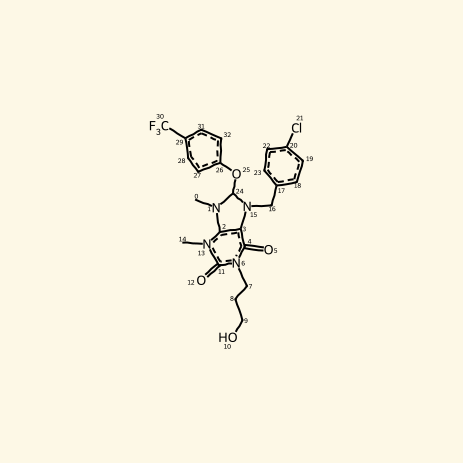 CN1c2c(c(=O)n(CCCO)c(=O)n2C)N(Cc2ccc(Cl)cc2)C1Oc1ccc(C(F)(F)F)cc1